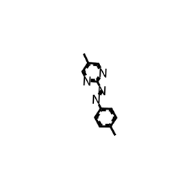 Cc1ccc(N=Nc2ncc(C)cn2)cc1